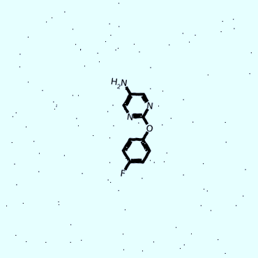 Nc1cnc(Oc2ccc(F)cc2)nc1